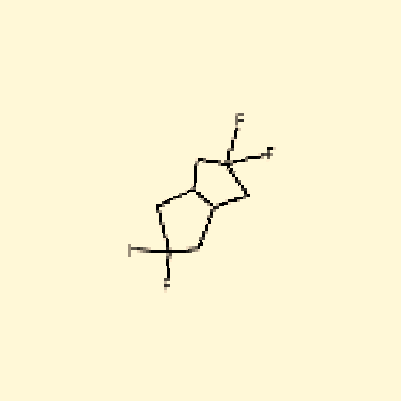 FC1(F)CC2CC(F)(F)CC2C1